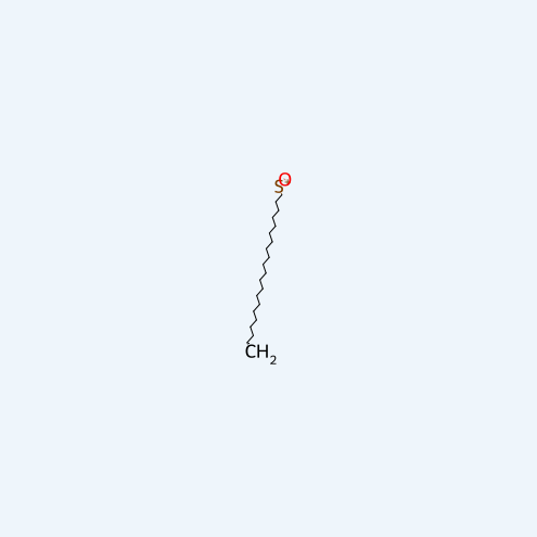 C=CCCCCCCCCCCCCCCCCCCC[S+]=O